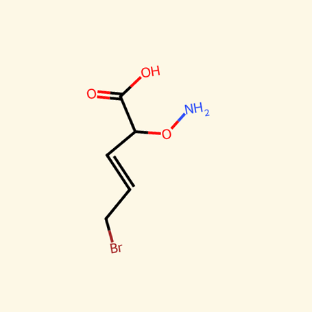 NOC(C=CCBr)C(=O)O